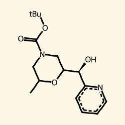 CC1CN(C(=O)OC(C)(C)C)CC([C@@H](O)c2ccccn2)O1